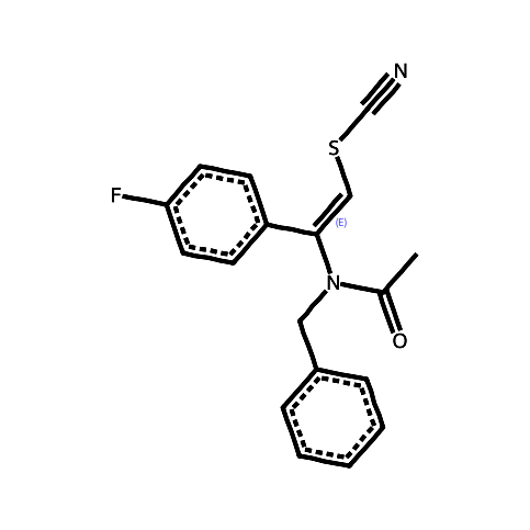 CC(=O)N(Cc1ccccc1)/C(=C/SC#N)c1ccc(F)cc1